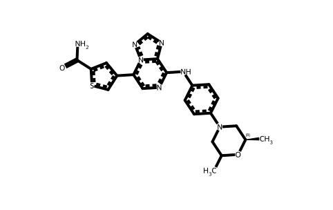 CC1CN(c2ccc(Nc3ncc(-c4csc(C(N)=O)c4)n4ncnc34)cc2)C[C@@H](C)O1